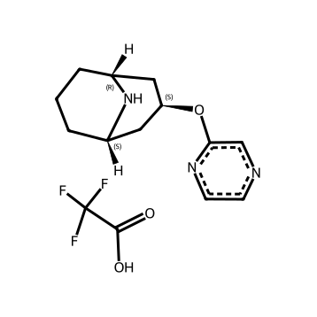 O=C(O)C(F)(F)F.c1cnc(O[C@@H]2C[C@H]3CCC[C@@H](C2)N3)cn1